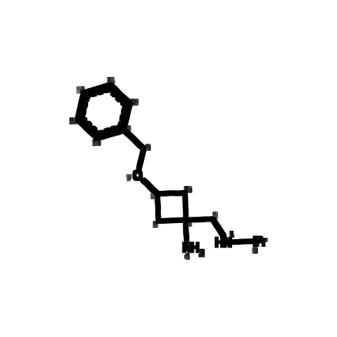 CC(C)NCC1(N)CC(OCc2ccccc2)C1